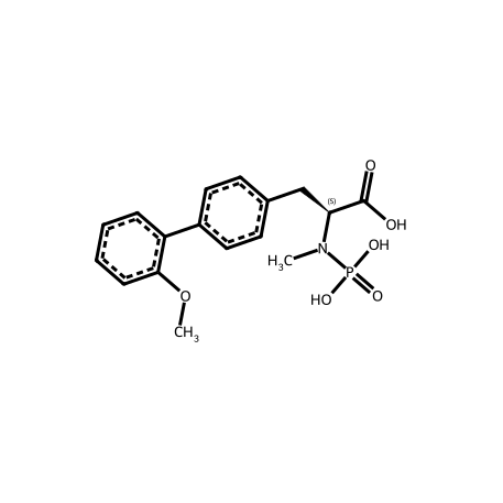 COc1ccccc1-c1ccc(C[C@@H](C(=O)O)N(C)P(=O)(O)O)cc1